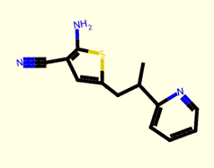 CC(Cc1cc(C#N)c(N)s1)c1ccccn1